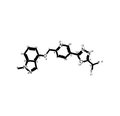 Cn1ncc2c(OCc3ccc(-c4nnc(C(F)F)o4)cn3)cccc21